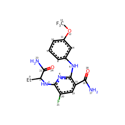 CCC(Nc1nc(Nc2cccc(OC(F)(F)F)c2)c(C(N)=O)cc1F)C(N)=O